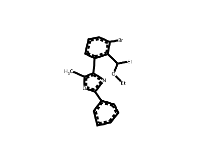 CCOC(CC)c1c(Br)cccc1-c1nc(-c2ccccc2)oc1C